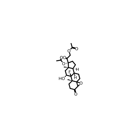 CC(=O)OCC(=O)[C@@]1(OC(C)=O)CC[C@H]2[C@@H]3CCC45OC4C(=O)CC[C@]5(C)C3(F)[C@@H](O)C[C@@]21C